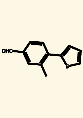 Cc1cc(C=O)ccc1-c1cccs1